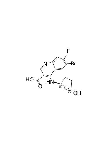 O=C(O)c1cnc2cc(F)c(Br)cc2c1N[C@H]1CC[C@H](O)C1